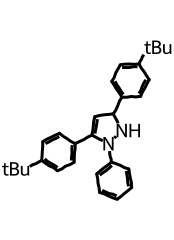 CC(C)(C)c1ccc(C2=CC(c3ccc(C(C)(C)C)cc3)NN2c2ccccc2)cc1